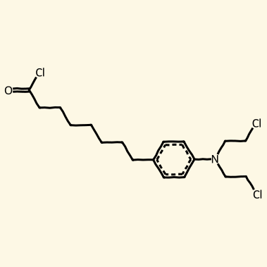 O=C(Cl)CCCCCCCc1ccc(N(CCCl)CCCl)cc1